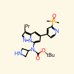 CC(C)c1cnn2c(N(C(=O)OC(C)(C)C)C3CNC3)cc(-c3ccnc(P(C)(C)=O)c3)cc12